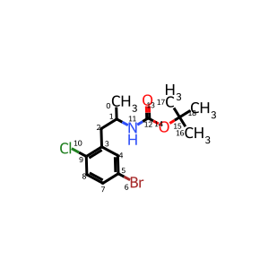 CC(Cc1cc(Br)ccc1Cl)NC(=O)OC(C)(C)C